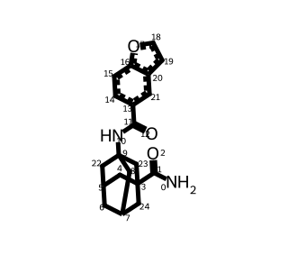 NC(=O)C12CC3CC(CC(NC(=O)c4ccc5occc5c4)(C3)C1)C2